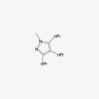 [CH2]n1nc(CCC)c(CCC)c1CCC